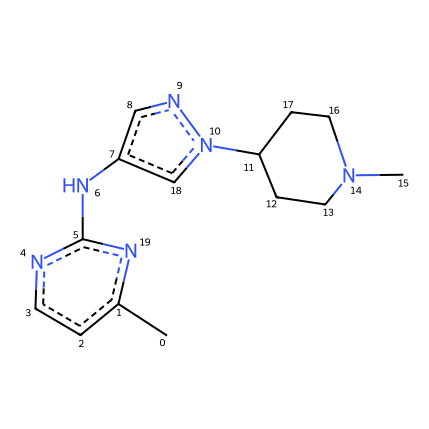 Cc1ccnc(Nc2cnn(C3CCN(C)CC3)c2)n1